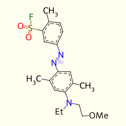 CCN(CCOC)c1cc(C)c(/N=N/c2ccc(C)c(S(=O)(=O)F)c2)cc1C